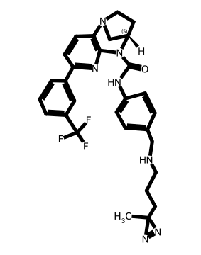 CC1(CCCNCc2ccc(NC(=O)N3c4nc(-c5cccc(C(F)(F)F)c5)ccc4N4CC[C@H]3C4)cc2)N=N1